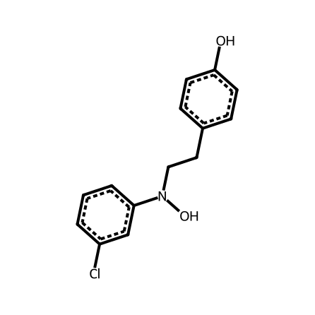 Oc1ccc(CCN(O)c2cccc(Cl)c2)cc1